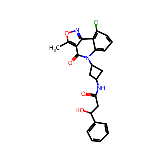 Cc1onc2c1c(=O)n(C1CC(NC(=O)CC(O)c3ccccc3)C1)c1cccc(Cl)c21